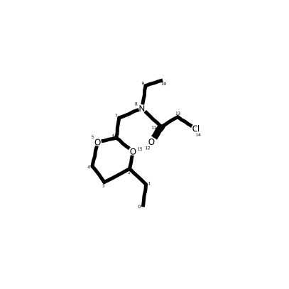 CCC1CCOC(CN(CC)C(=O)CCl)O1